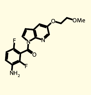 COCCOc1cnc2c(ccn2C(=O)c2c(F)ccc(N)c2F)c1